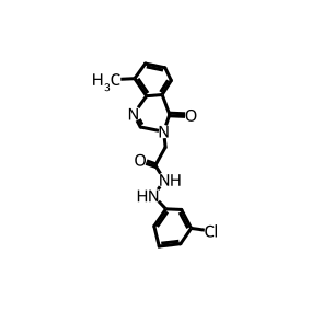 Cc1cccc2c(=O)n(CC(=O)NNc3cccc(Cl)c3)cnc12